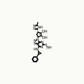 CCCSc1nc(NC2CC2c2ccccc2)c2nnn([C@@H]3C[C@H](c4nnc(C)[nH]4)[C@@H](O)[C@H]3O)c2n1